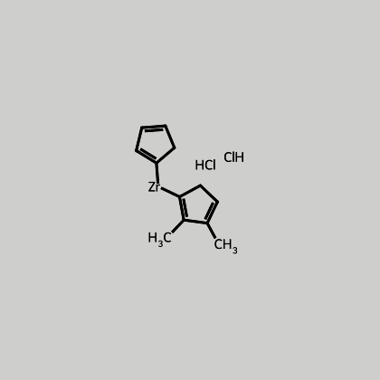 CC1=CC[C]([Zr][C]2=CC=CC2)=C1C.Cl.Cl